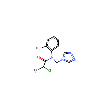 Cc1ccccc1N(Cn1cnnc1)C(=O)C(C)Cl